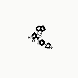 CN1CCN(c2ccc(NC(=O)c3c(N[C@@H]4CCCc5ccccc54)cc[nH]c3=O)cc2)CC1